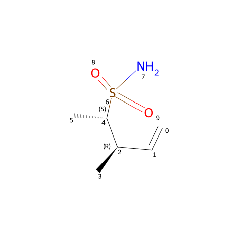 C=C[C@@H](C)[C@H](C)S(N)(=O)=O